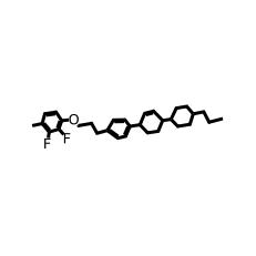 CCCC1CCC(C2C=CC(c3ccc(CCCOc4ccc(C)c(F)c4F)cc3)CC2)CC1